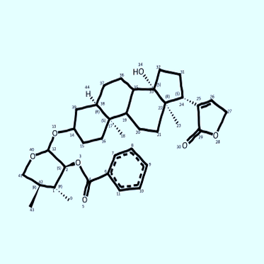 C[C@H]1[C@H](OC(=O)c2ccccc2)C(OC2CC[C@]3(C)C4CC[C@]5(C)[C@@H](C6=CCOC6=O)CC[C@]5(O)C4CC[C@@H]3C2)OC[C@@H]1C